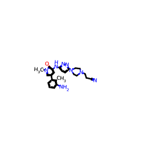 Cc1c(N)cccc1-c1cc(Nc2ccc(N3CCN(CCC#N)CC3)nn2)c(=O)n(C)c1